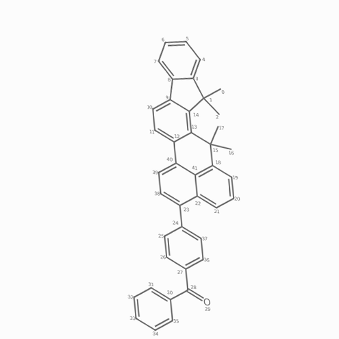 CC1(C)c2ccccc2-c2ccc3c(c21)C(C)(C)c1cccc2c(-c4ccc(C(=O)c5ccccc5)cc4)ccc-3c12